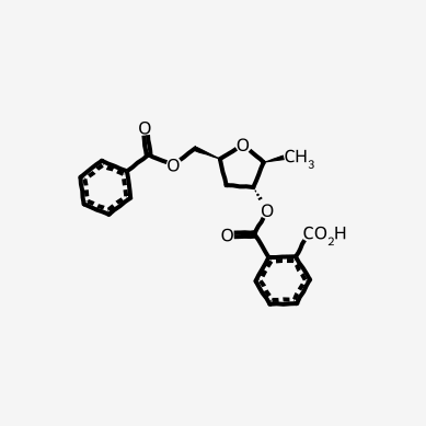 C[C@@H]1O[C@H](COC(=O)c2ccccc2)C[C@H]1OC(=O)c1ccccc1C(=O)O